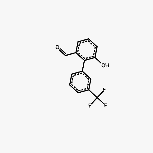 O=Cc1cccc(O)c1-c1cccc(C(F)(F)F)c1